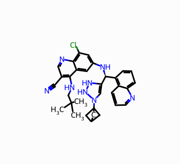 CC(C)(C)CNc1c(C#N)cnc2c(Cl)cc(N[C@H](C3=CN(C45CC(C4)C5)NN3)c3cccc4ncccc34)cc12